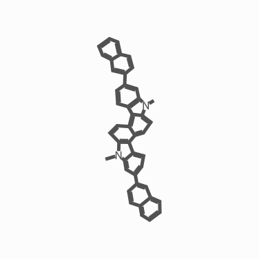 Cn1c2cc(-c3ccc4ccccc4c3)ccc2c2c3ccc4c(c3ccc21)c1ccc(-c2ccc3ccccc3c2)cc1n4C